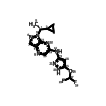 C[C@H](C1CC1)n1ncc2ncc(Nc3cc(OC(F)F)[nH]n3)nc21